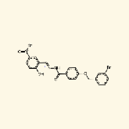 O=C(N/N=C/c1cc([N+](=O)[O-])ccc1O)c1ccc(OCc2cccc(Br)c2)cc1